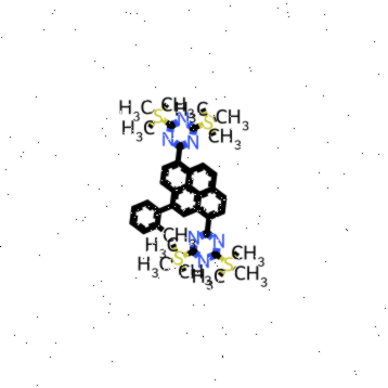 Cc1ccccc1-c1cc2c(-c3nc(S(C)(C)C)nc(S(C)(C)C)n3)ccc3ccc4c(-c5nc(S(C)(C)C)nc(S(C)(C)C)n5)ccc1c4c32